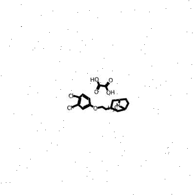 CN1C2CCC1CC(CCOc1ccc(Cl)c(Cl)c1)C2.O=C(O)C(=O)O